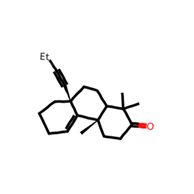 CCC#C[C@]12CCCC=C1[C@@]1(C)CCC(=O)C(C)(C)C1CC2